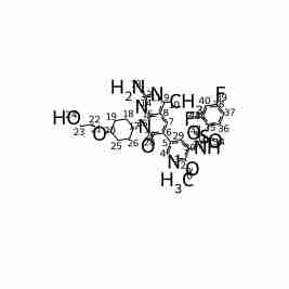 COc1ncc(-c2cc3c(C)nc(N)nc3n([C@H]3CC[C@H](OCCO)CC3)c2=O)cc1NS(=O)(=O)c1ccc(F)cc1F